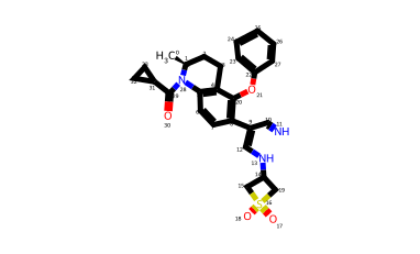 C[C@H]1CCc2c(ccc(/C(C=N)=C/NC3CS(=O)(=O)C3)c2Oc2ccccc2)N1C(=O)C1CC1